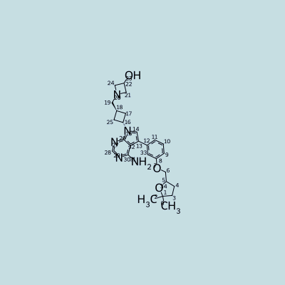 CC1(C)CCC(COc2cccc(-c3cn([C@H]4C[C@H](CN5CC(O)C5)C4)c4ncnc(N)c34)c2)O1